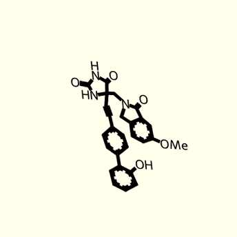 COc1ccc2c(c1)C(=O)N(CC1(C#Cc3ccc(-c4ccccc4O)cc3)NC(=O)NC1=O)C2